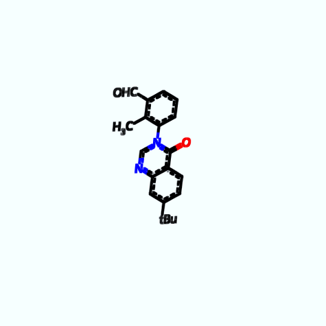 Cc1c(C=O)cccc1-n1cnc2cc(C(C)(C)C)ccc2c1=O